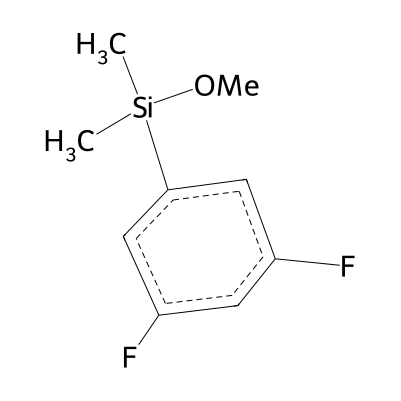 CO[Si](C)(C)c1cc(F)cc(F)c1